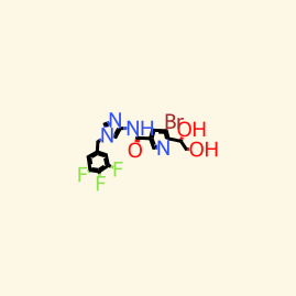 O=C(Nc1cn(Cc2cc(F)c(F)c(F)c2)cn1)c1cnc(C(O)CO)c(Br)c1